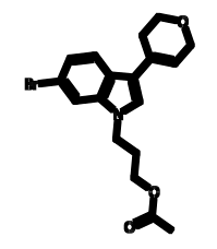 CC(=O)OCCCn1cc(C2=CCOCC2)c2ccc(Br)cc21